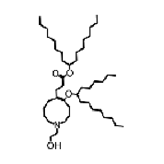 CCCCCCCCC(CCCCCCCC)OC(=O)CC/C1=C(\OC(CCCCCC)CCCCCCCC)CCCN(CCO)CCCC1